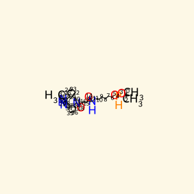 CC(C)OPOCCCCCCNC(=O)CCC(=O)N1Cc2ccccc2-c2c(nnn2C)-c2ccccc21